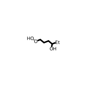 CCC(O)CCCOO